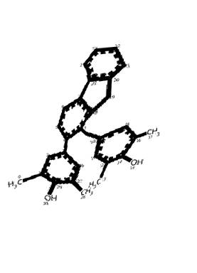 Cc1cc(-c2ccc3c(c2-c2cc(C)c(O)c(C)c2)Cc2ccccc2-3)cc(C)c1O